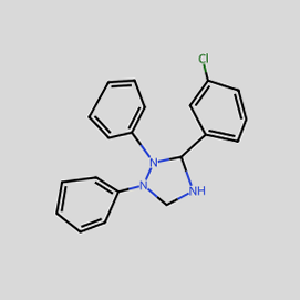 Clc1cccc(C2NCN(c3ccccc3)N2c2ccccc2)c1